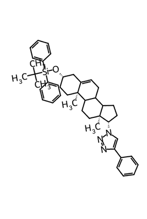 CC(C)(C)[Si](O[C@H]1CC[C@@]2(C)C(=CCC3C2CC[C@@]2(C)C3CC[C@@H]2n2cc(-c3ccccc3)nn2)C1)(c1ccccc1)c1ccccc1